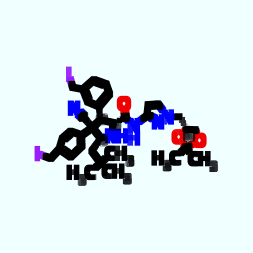 CC(C)(C)C[C@@H]1N[C@@H](C(=O)Nc2ccn(C[C@@H]3COC(C)(C)O3)n2)[C@H](c2cccc(CI)c2)[C@@]1(C#N)c1ccc(CI)cc1